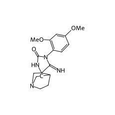 COc1ccc(N2C(=N)C3(CN4CCC3CC4)NC2=O)c(OC)c1